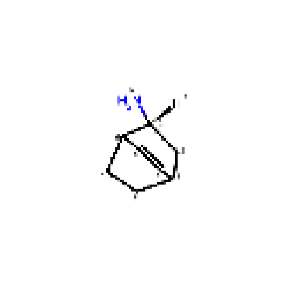 N[C@@H]1CC2C=CC1CC2